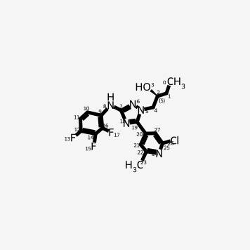 CC[C@H](O)Cn1nc(Nc2ccc(F)c(F)c2F)nc1-c1cc(C)nc(Cl)c1